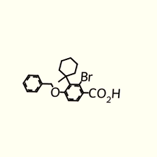 CC1(c2c(OCc3ccccc3)ccc(C(=O)O)c2Br)CCCCC1